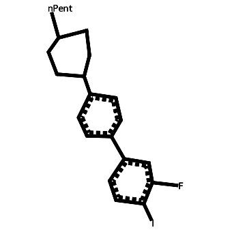 CCCCCC1CCC(c2ccc(-c3ccc(I)c(F)c3)cc2)CC1